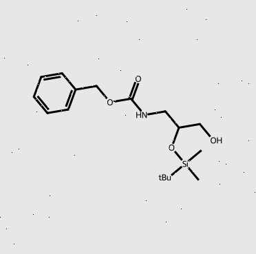 CC(C)(C)[Si](C)(C)OC(CO)CNC(=O)OCc1ccccc1